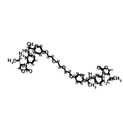 CC(C)[C@H]1COC(=O)N1c1ccnc(N[C@@H](C)c2ccc(OCCOCCOCCOc3ccc([C@H](C)Nc4nccc(N5C(=O)OC[C@@H]5C(C)C)n4)nc3)cn2)n1